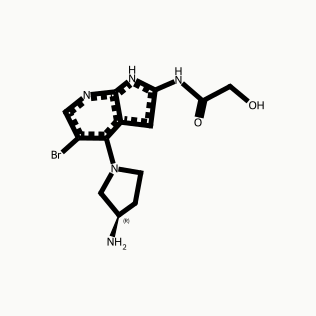 N[C@@H]1CCN(c2c(Br)cnc3[nH]c(NC(=O)CO)cc23)C1